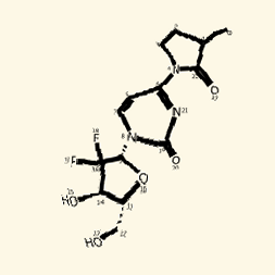 CC1CCN(c2ccn([C@@H]3O[C@H](CO)[C@@H](O)C3(F)F)c(=O)n2)C1=O